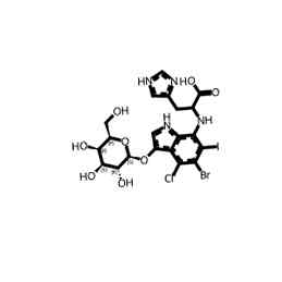 O=C(O)C(Cc1c[nH]cn1)Nc1c(I)c(Br)c(Cl)c2c(O[C@@H]3O[C@H](CO)[C@H](O)[C@H](O)[C@H]3O)c[nH]c12